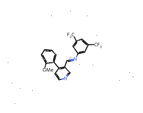 COc1ccccc1-c1ccncc1/C=N/c1cc(C(F)(F)F)cc(C(F)(F)F)c1